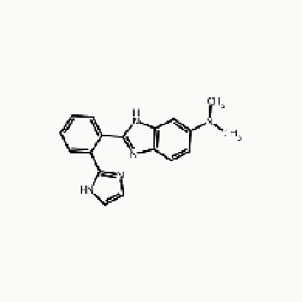 CN(C)c1ccc2nc(-c3ccccc3-c3ncc[nH]3)[nH]c2c1